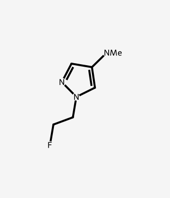 CNc1cnn(CCF)c1